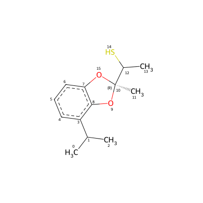 CC(C)c1cccc2c1O[C@](C)(C(C)S)O2